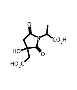 CC(C(=O)O)N1C(=O)CC(O)(CC(=O)O)C1=O